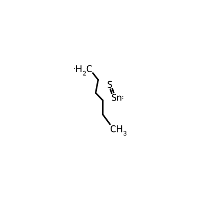 [CH2]CCCCC.[S]=[Sn]